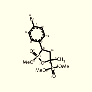 COP1(=O)OC(C)(P(=O)(OC)OC)CC1c1ccc(Br)cc1